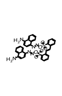 Nc1ccc(N=NOS(=O)(=O)c2ccccc2C=Cc2ccccc2S(=O)(=O)ON=Nc2ccc(N)c3ccccc23)c2ccccc12